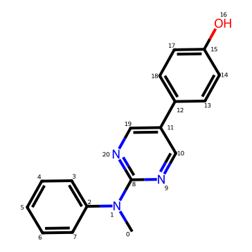 CN(c1ccccc1)c1ncc(-c2ccc(O)cc2)cn1